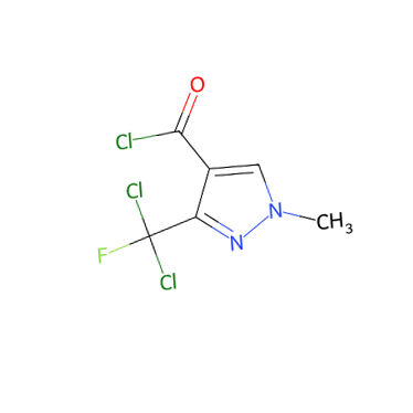 Cn1cc(C(=O)Cl)c(C(F)(Cl)Cl)n1